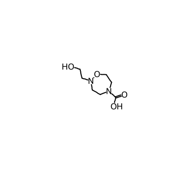 O=C(O)N1CCON(CCO)CC1